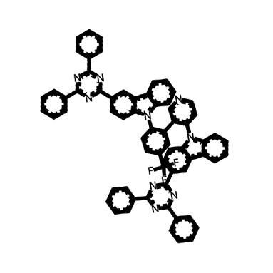 FC(F)(F)c1ccc(-n2c3ccccc3c3cc(-c4nc(-c5ccccc5)nc(-c5ccccc5)n4)ccc32)c(-c2cnccc2-n2c3ccccc3c3cc(-c4nc(-c5ccccc5)nc(-c5ccccc5)n4)ccc32)c1